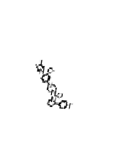 COc1cc(N2CCN(C(=O)N3CCCC3c3ccc(F)cc3)CC2)ccc1-n1cnc(C)c1